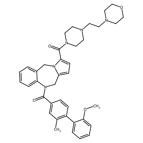 COc1ccccc1-c1ccc(C(=O)N2Cc3ccc(C(=O)N4CCN(CCN5CCOCC5)CC4)n3Cc3ccccc32)cc1C